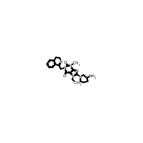 CCn1c(N2CCCC(N)C2)nc2c1c(=O)n(CC1=NCCc3ccccc31)c(=O)n2C